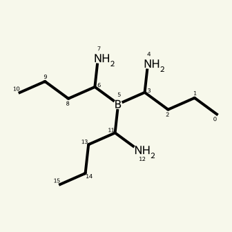 CCCC(N)B(C(N)CCC)C(N)CCC